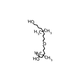 CC(C)(CCCCO)CCCCOCCCCC(C)(C)CC(=O)O